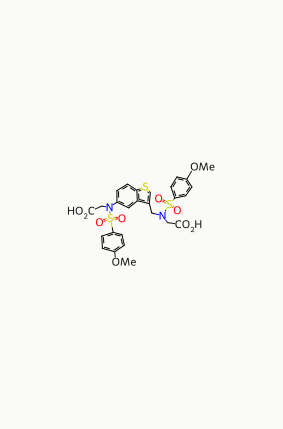 COc1ccc(S(=O)(=O)N(CC(=O)O)Cc2csc3ccc(N(CC(=O)O)S(=O)(=O)c4ccc(OC)cc4)cc23)cc1